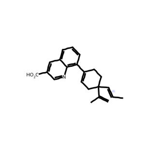 C=C(C)C1(/C=C/C)CC=C(c2cccc3cc(C(=O)O)cnc23)CC1